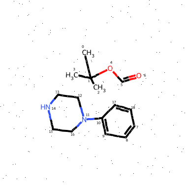 CC(C)(C)OC=O.c1ccc(N2CCNCC2)cc1